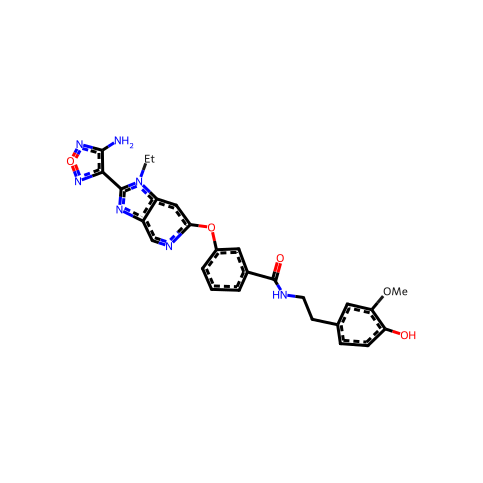 CCn1c(-c2nonc2N)nc2cnc(Oc3cccc(C(=O)NCCc4ccc(O)c(OC)c4)c3)cc21